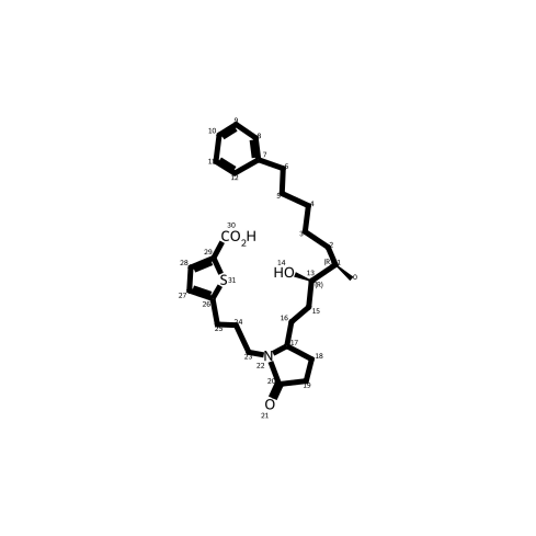 C[C@H](CCCCCc1ccccc1)[C@H](O)CCC1CCC(=O)N1CCCc1ccc(C(=O)O)s1